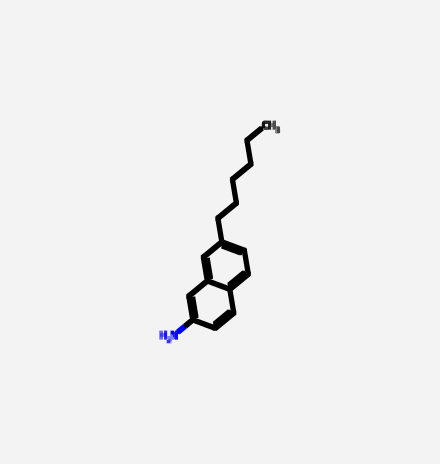 CCCCCCc1ccc2ccc(N)cc2c1